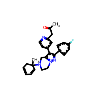 CC(=O)Cc1cc(-c2c(-c3ccc(F)cc3)nn3c2CN(C2(C)C=CC=CC2)CC3)ccn1